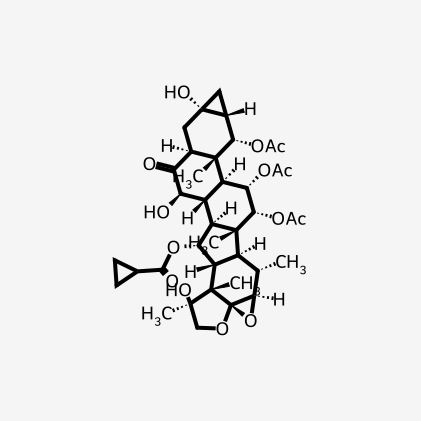 CC(=O)O[C@H]1[C@H]2[C@H]([C@@H]3[C@@H](OC(=O)C4CC4)[C@@H]4[C@H]([C@H](C)[C@H]5O[C@]56OC[C@@](C)(O)[C@]46C)[C@@]3(C)[C@H]1OC(C)=O)[C@@H](O)C(=O)[C@H]1C[C@@]3(O)C[C@@H]3[C@H](OC(C)=O)[C@]21C